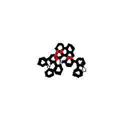 c1ccc(-n2c3ccccc3c3cccc(-c4ccccc4N(c4ccc(-c5cccc6oc7ccccc7c56)cc4)c4ccccc4-c4cccc5cccc(C6CCCCC6)c45)c32)cc1